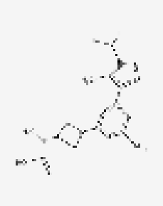 Cc1c(-c2cc(N3CC(N(C)C(=O)O)C3)nc(N)n2)cnn1C(F)F